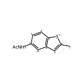 CC(=O)Nc1ccc2sc(C)cc2c1